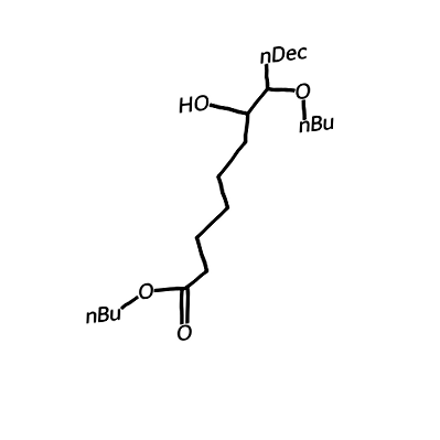 CCCCCCCCCCC(OCCCC)C(O)CCCCCC(=O)OCCCC